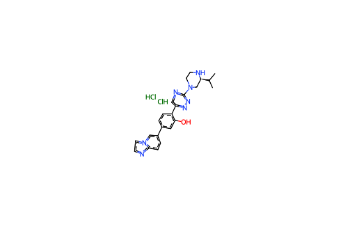 CC(C)[C@H]1CN(c2ncc(-c3ccc(-c4ccc5nccn5c4)cc3O)nn2)CCN1.Cl.Cl